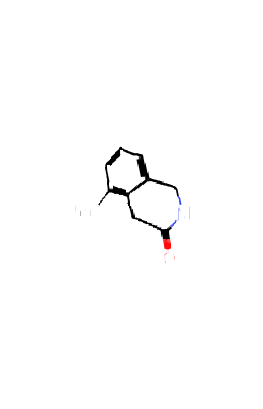 CC(C)(C)c1cccc2c1CC(=O)NC2